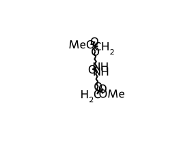 C=C(COCCCCCNC(=O)NCCCCCOCC(=C)C(=O)OC)C(=O)OC